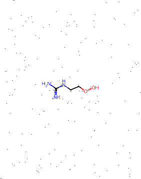 N=C(N)NCCOO